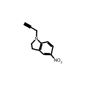 C#CCN1CCc2cc([N+](=O)[O-])ccc21